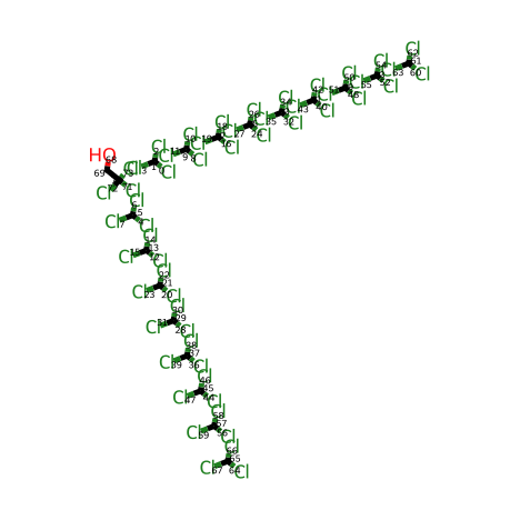 ClC(Cl)Cl.ClC(Cl)Cl.ClC(Cl)Cl.ClC(Cl)Cl.ClC(Cl)Cl.ClC(Cl)Cl.ClC(Cl)Cl.ClC(Cl)Cl.ClC(Cl)Cl.ClC(Cl)Cl.ClC(Cl)Cl.ClC(Cl)Cl.ClC(Cl)Cl.ClC(Cl)Cl.ClC(Cl)Cl.ClC(Cl)Cl.ClC(Cl)Cl.OCC(Cl)(Cl)Cl